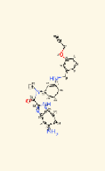 C#CCOc1cccc(CNC2=C[C@@H](N(CC)C(=O)c3nc4cc(N)ccc4[nH]3)CCC2)c1